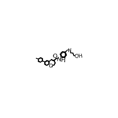 Cc1ccc(-c2ccc3c(c2)C=C(C(=O)Nc2ccc(CN(C)CCCO)cc2)CCO3)cc1